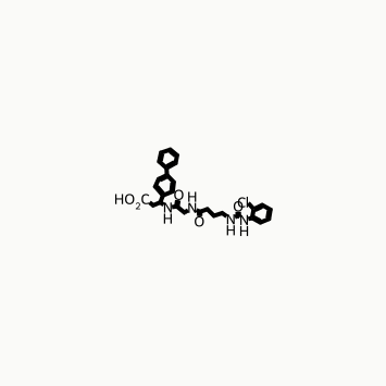 O=C(O)CC(NC(=O)CNC(=O)CCCNC(=O)Nc1ccccc1Cl)c1ccc(-c2ccccc2)cc1